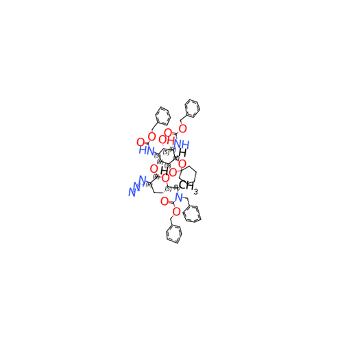 C[C@H]([C@@H]1CC[C@@H](N=[N+]=[N-])[C@@H](O[C@@H]2[C@@H](NC(=O)OCc3ccccc3)[C@H](O)[C@@H](NC(=O)OCc3ccccc3)[C@@H]3OC4(CCCCC4)O[C@@H]23)O1)N(Cc1ccccc1)C(=O)OCc1ccccc1